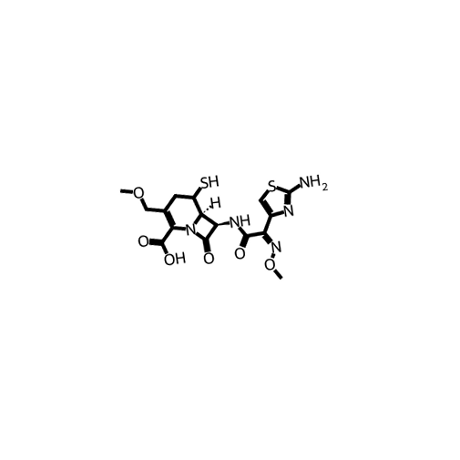 COCC1=C(C(=O)O)N2C(=O)[C@H](NC(=O)/C(=N\OC)c3csc(N)n3)[C@@H]2C(S)C1